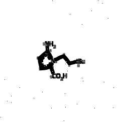 CC(C)(C)CCn1c(N)ccc1C(=O)O